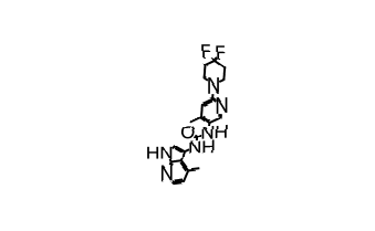 Cc1cc(N2CCC(F)(F)CC2)ncc1NC(=O)Nc1c[nH]c2nccc(C)c12